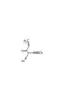 C#CN(C#C)C(=O)C=C